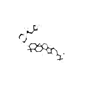 CCO[C@@H](C1C[C@@H](C)[C@H]2C(O1)[C@H](O)[C@@]1(C)C3CC[C@H]4C(C)(C)[C@@H](O[C@H]5CN(C(=O)CC6CNC6)CCO5)CCC45C[C@@]35CC[C@]21C)C(C)(C)O